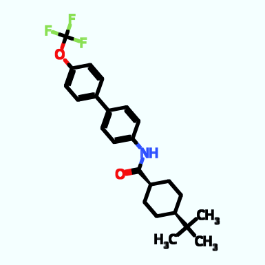 CC(C)(C)[C@H]1CC[C@@H](C(=O)Nc2ccc(-c3ccc(OC(F)(F)F)cc3)cc2)CC1